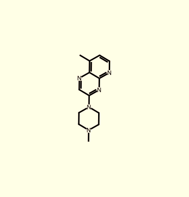 Cc1ccnc2nc(N3CCN(C)CC3)cnc12